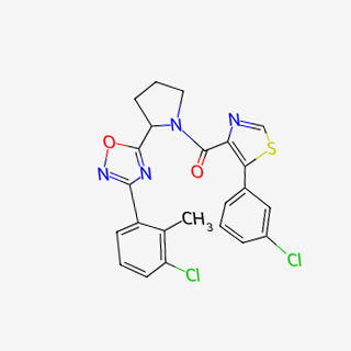 Cc1c(Cl)cccc1-c1noc(C2CCCN2C(=O)c2ncsc2-c2cccc(Cl)c2)n1